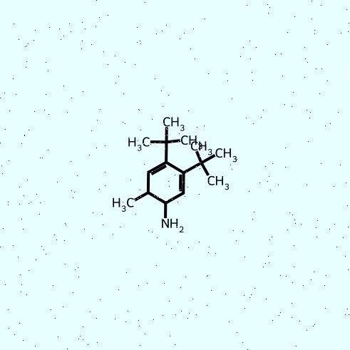 CC1C=C(C(C)(C)C)C(C(C)(C)C)=CC1N